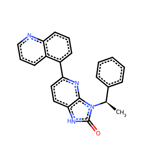 C[C@H](c1ccccc1)n1c(=O)[nH]c2ccc(-c3cccc4ncccc34)nc21